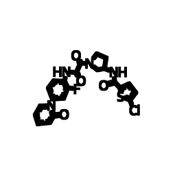 O=C(Nc1ccc(-n2ccccc2=O)cc1F)C(=O)N1CCC(NC(=O)c2ccc(Cl)s2)C1